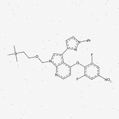 CC(C)n1ccc(-c2cn(COCC[Si](C)(C)C)c3nccc(Oc4c(F)cc([N+](=O)[O-])cc4F)c23)n1